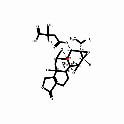 CC(C)[C@]12O[C@H]1[C@@H]1O[C@]13[C@]1(O[C@H]1C[C@H]1C4=C(CC[C@@]13C)C(=O)OC4)[C@@H]2OC(=O)CC(C)(C)C(=O)O